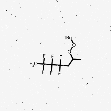 CC(CC(F)(F)C(F)(F)C(F)(F)C(F)(F)F)OOC(C)(C)C